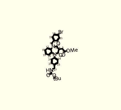 COC(=O)CC1C(=O)N(Cc2ccc(Br)cc2)c2ccccc2N(c2ccc(CNC(=O)OC(C)(C)C)cc2)C1=O